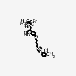 CCCC(C)(C)C(=O)NCC1CC(=O)Nc2cc(OCCCCCN3CCN(c4cccc(C)c4Cl)CC3)ccc21